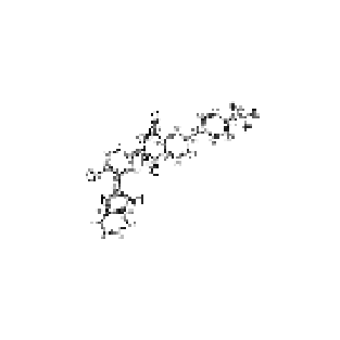 O=C(Nc1ccc(Cl)c(-c2nc3ccccc3[nH]2)c1)c1ccc(-c2ccc(C(F)(F)F)cc2)cc1[N+](=O)[O-]